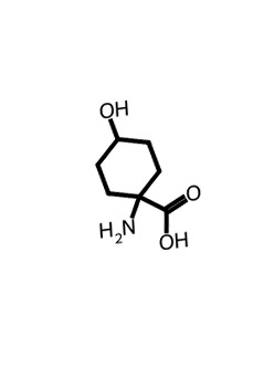 NC1(C(=O)O)CCC(O)CC1